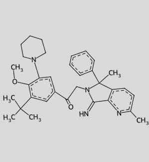 COc1c(N2CCCCC2)cc(C(=O)CN2C(=N)c3nc(C)ccc3C2(C)c2ccccc2)cc1C(C)(C)C